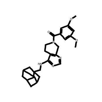 COc1cc(OC)cc(C(=O)N2CCc3c(ncnc3NCC34CC5CC(CC(C5)C3)C4)C2)c1